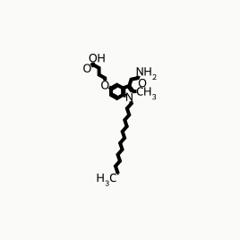 CCCCCCCCCCCCCCn1c(C)c(CC(N)=O)c2cc(OCCCC(=O)O)ccc21